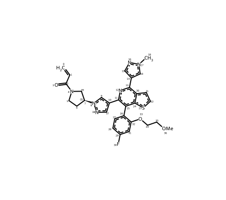 C=CC(=O)N1CC[C@H](n2cc(-c3nc(-c4cnn(C)c4)c4ccsc4c3-c3ccc(F)cc3OCCOC)cn2)C1